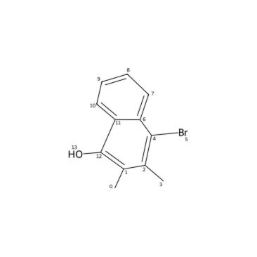 Cc1c(C)c(Br)c2ccccc2c1O